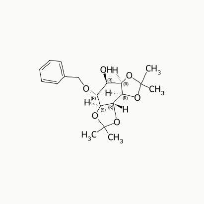 CC1(C)O[C@@H]2[C@@H](O1)[C@H](OCc1ccccc1)[C@@H](O)[C@H]1OC(C)(C)O[C@@H]21